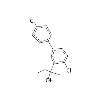 CCC(C)(O)c1cc(-c2ccc(Cl)cc2)ccc1Cl